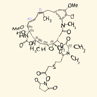 COc1cc2cc(c1Cl)N(C)C(=O)CC(OC(=O)[C@H](C)N(C)C(=O)CCSCC(=O)ON1C(=O)CCC1=O)[C@]1(C)O[C@H]1[C@H](C)[C@@H]1C[C@@](O)(NC(=O)O1)[C@H](OC)/C=C/C=C(\C)C2